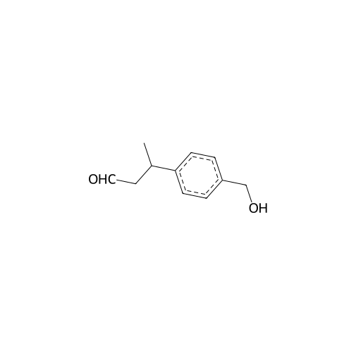 CC(CC=O)c1ccc(CO)cc1